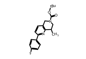 CC1CN(C(=O)OC(C)(C)C)Cc2ccc(-c3ccc(F)cc3)nc21